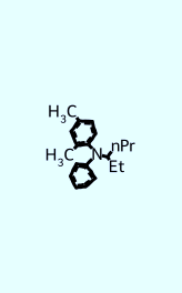 CCCC(CC)N(c1ccccc1)c1ccc(C)cc1C